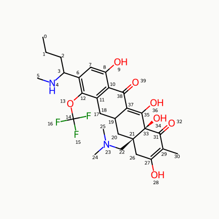 CCCC(NC)c1cc(O)c2c(c1OC(F)(F)F)CC1C[C@@]3(CN(C)C)CC(O)=C(C)C(=O)[C@@]3(O)C(O)=C1C2=O